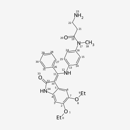 CCOc1cc2c(cc1OCC)C(=C(Nc1ccc(N(C)C(=O)CCN)cc1)c1ccccc1)C(=O)N2